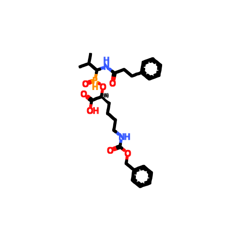 CC(C)C(NC(=O)CCc1ccccc1)[PH](=O)O[C@@H](CCCCNC(=O)OCc1ccccc1)C(=O)O